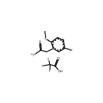 COc1ccc(Br)cc1CC(N)=O.O=C(O)C(F)(F)F